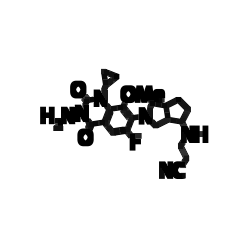 COc1c(N2CC3CCC(NCCC#N)C3C2)c(F)cc2c(=O)n(N)c(=O)n(C3CC3)c12